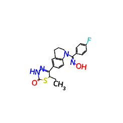 CCC1SC(=O)NN=C1c1ccc2c(c1)CCCN2C(=NO)c1ccc(F)cc1